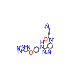 CN(C)CC#CC(=O)N(C)c1ccc2ncnc(Nc3ccc(Oc4cc5nncn5cn4)cc3)c2c1